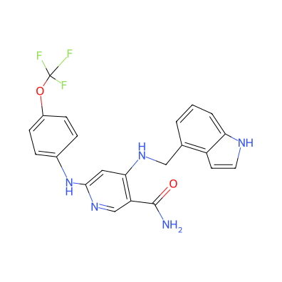 NC(=O)c1cnc(Nc2ccc(OC(F)(F)F)cc2)cc1NCc1cccc2[nH]ccc12